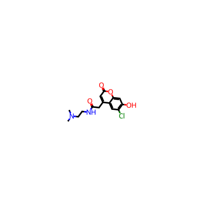 CN(C)CCNC(=O)Cc1cc(=O)oc2cc(O)c(Cl)cc12